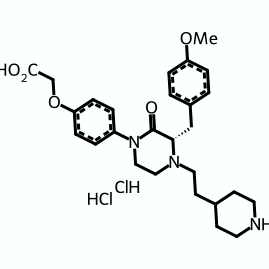 COc1ccc(C[C@H]2C(=O)N(c3ccc(OCC(=O)O)cc3)CCN2CCC2CCNCC2)cc1.Cl.Cl